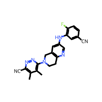 Cc1c(C#N)nnc(N2CCc3ncc(Nc4cc(C#N)ccc4F)cc3C2)c1C